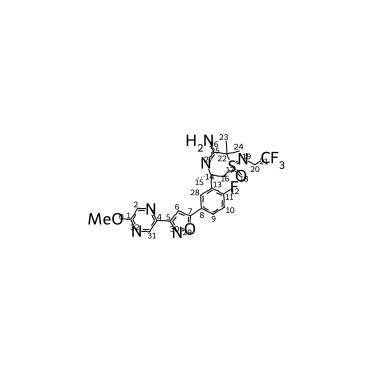 COc1cnc(-c2cc(-c3ccc(F)c([C@]4(C)C[S@](=O)(=NCC(F)(F)F)C(C)(C)C(N)=N4)c3)on2)cn1